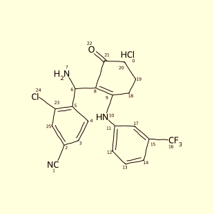 Cl.N#Cc1ccc(C(N)C2=C(Nc3cccc(C(F)(F)F)c3)CCCC2=O)c(Cl)c1